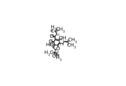 CC(C)=CCC1=C2O[C@@H](C(C)(C)O)C[C@@]2(O)C(=O)C(C(=O)CC(C)C)=C1O